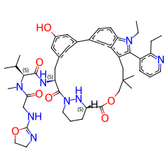 CCc1ncccc1-c1c2c3cc(ccc3n1CC)-c1cc(O)cc(c1)C[C@H](NC(=O)[C@H](C(C)C)N(C)C(=O)CNC1=NCCO1)C(=O)N1CCC[C@H](N1)C(=O)OCC(C)(C)C2